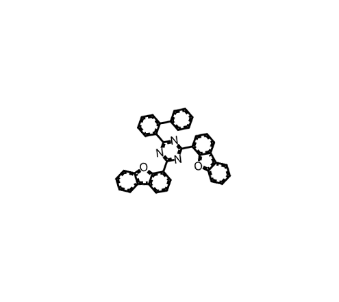 c1ccc(-c2ccccc2-c2nc(-c3cccc4c3oc3ccccc34)nc(-c3cccc4c3oc3ccccc34)n2)cc1